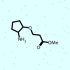 COC(=O)CCOC1CCCC1N